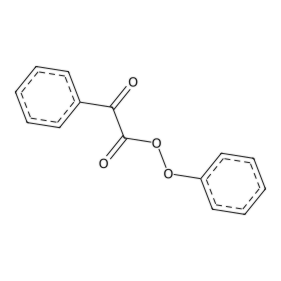 O=C(OOc1ccccc1)C(=O)c1ccccc1